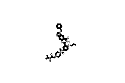 CCCOc1ccc(S(=O)(=O)N2CCN(CC(=O)NC(C)C)CC2)cc1-c1nc2cc3ncn(Cc4ccccc4)c3cc2c(=O)[nH]1